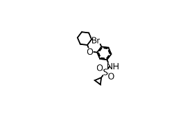 O=S(=O)(Nc1ccc(Br)c(OC2CCCCC2)c1)C1CC1